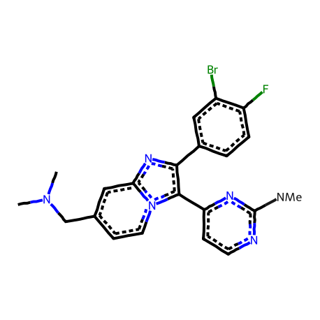 CNc1nccc(-c2c(-c3ccc(F)c(Br)c3)nc3cc(CN(C)C)ccn23)n1